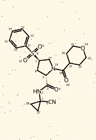 N#CC1(NC(=O)[C@@H]2C[C@@H](S(=O)(=O)c3ccccc3)CN2C(=O)C2CCOCC2)CC1